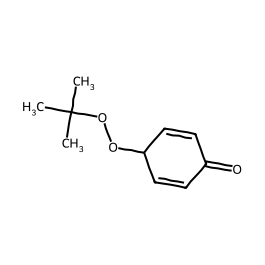 CC(C)(C)OOC1C=CC(=O)C=C1